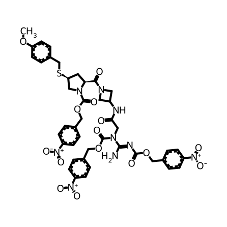 COc1ccc(CS[C@H]2C[C@@H](C(=O)N3CC(NC(=O)CN(C(=O)OCc4ccc([N+](=O)[O-])cc4)C(N)=NC(=O)OCc4ccc([N+](=O)[O-])cc4)C3)N(C(=O)OCc3ccc([N+](=O)[O-])cc3)C2)cc1